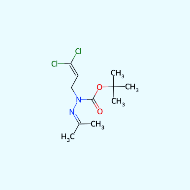 CC(C)=NN(CC=C(Cl)Cl)C(=O)OC(C)(C)C